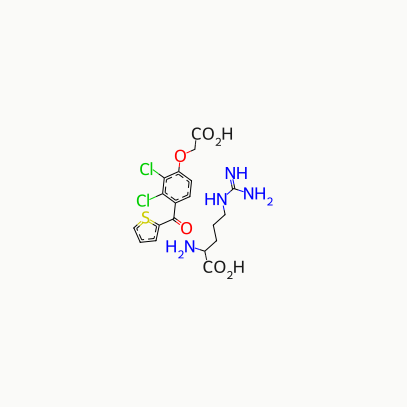 N=C(N)NCCCC(N)C(=O)O.O=C(O)COc1ccc(C(=O)c2cccs2)c(Cl)c1Cl